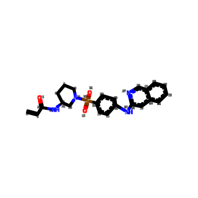 C=CC(=O)N[C@H]1CCCN(S(=O)(=O)c2ccc(Nc3cc4ccccc4cn3)cc2)C1